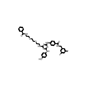 O=C(NCCOCCOCCNc1nc(Nc2ccc(O)cc2)nc(Nc2ccc(C(=O)NCc3cc(F)cc(F)c3)cc2)n1)c1ccccc1